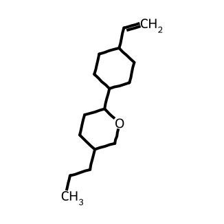 C=CC1CCC(C2CCC(CCC)CO2)CC1